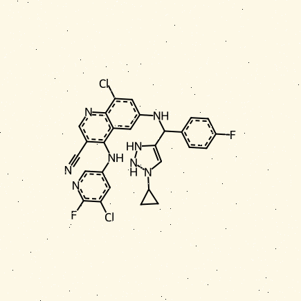 N#Cc1cnc2c(Cl)cc(NC(C3=CN(C4CC4)NN3)c3ccc(F)cc3)cc2c1Nc1cnc(F)c(Cl)c1